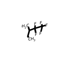 [CH2]C(CC)C(F)(F)C(F)(F)F